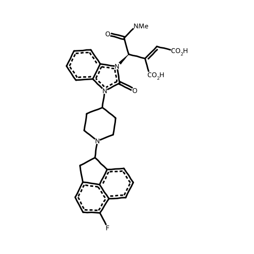 CNC(=O)[C@@H](/C(=C/C(=O)O)C(=O)O)n1c(=O)n(C2CCN(C3Cc4ccc(F)c5cccc3c45)CC2)c2ccccc21